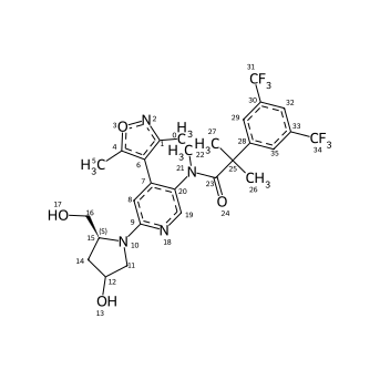 Cc1noc(C)c1-c1cc(N2CC(O)C[C@H]2CO)ncc1N(C)C(=O)C(C)(C)c1cc(C(F)(F)F)cc(C(F)(F)F)c1